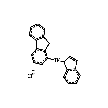 C1=C[CH]([Ti+2][c]2cccc3c2Cc2ccccc2-3)c2ccccc21.[Cl-].[Cl-]